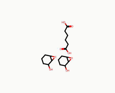 O=C(O)CCCCC(=O)O.OC1CCCC2OC12.OC1CCCC2OC12